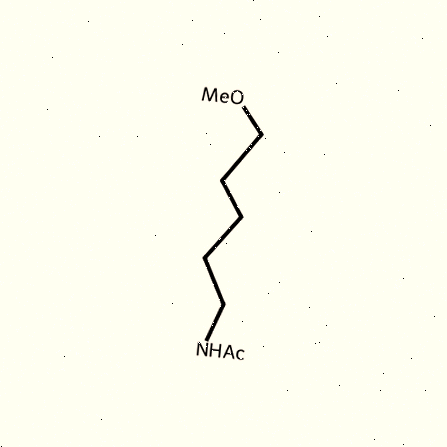 COCCCCCNC(C)=O